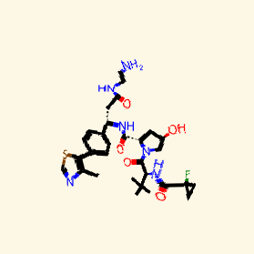 Cc1ncsc1-c1ccc([C@H](CC(=O)NCCN)NC(=O)[C@@H]2C[C@@H](O)CN2C(=O)[C@@H](NC(=O)C2(F)CC2)C(C)(C)C)cc1